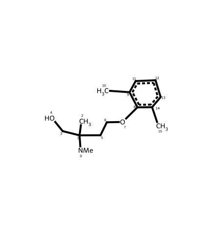 CNC(C)(CO)CCOc1c(C)cccc1C